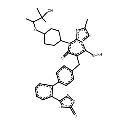 CCCc1c(Cc2ccc(-c3ccccc3-c3noc(=O)[nH]3)cc2)c(=O)n(C2CCC(OC(C)C(C)(C)O)CC2)c2nc(C)nn12.[KH]